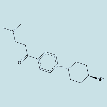 CCC[C@H]1CC[C@H](c2ccc(C(=O)CCN(C)C)cc2)CC1